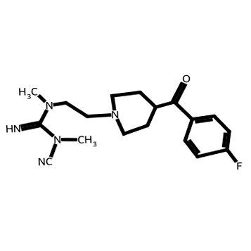 CN(C#N)C(=N)N(C)CCN1CCC(C(=O)c2ccc(F)cc2)CC1